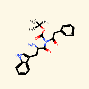 CC(C)(C)OC(=O)N(C(=O)Cc1ccccc1)C(=O)[C@H](N)Cc1c[nH]c2ccccc12